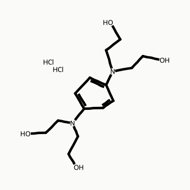 Cl.Cl.OCCN(CCO)c1ccc(N(CCO)CCO)cc1